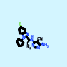 C[C@H](Nc1ncnc(N)c1C#N)c1nc2cc(F)ccc2n1-c1ccccc1